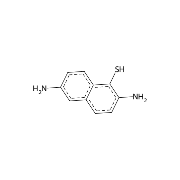 Nc1ccc2c(S)c(N)ccc2c1